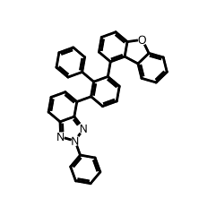 c1ccc(-c2c(-c3cccc4nn(-c5ccccc5)nc34)cccc2-c2cccc3oc4ccccc4c23)cc1